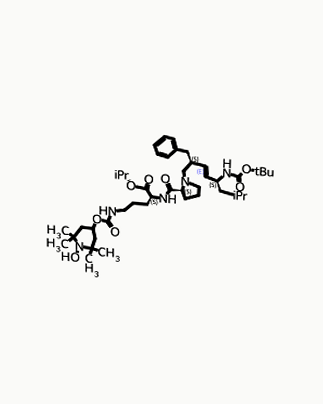 CC(C)C[C@@H](/C=C/[C@H](Cc1ccccc1)CN1CCC[C@H]1C(=O)N[C@@H](CCCNC(=O)OC1CC(C)(C)N(O)C(C)(C)C1)C(=O)OC(C)C)NC(=O)OC(C)(C)C